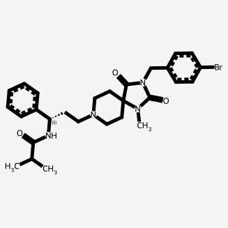 CC(C)C(=O)N[C@@H](CCN1CCC2(CC1)C(=O)N(Cc1ccc(Br)cc1)C(=O)N2C)c1ccccc1